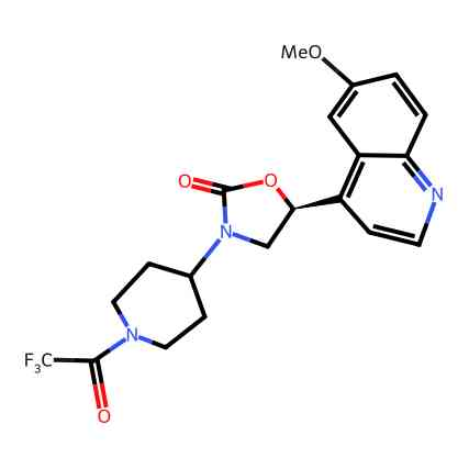 COc1ccc2nccc([C@H]3CN(C4CCN(C(=O)C(F)(F)F)CC4)C(=O)O3)c2c1